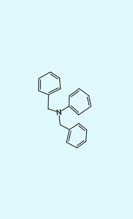 c1ccc(CN(Cc2ccccc2)c2ccccc2)cc1